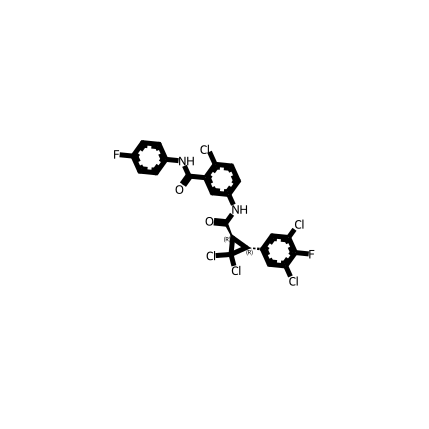 O=C(Nc1ccc(F)cc1)c1cc(NC(=O)[C@H]2[C@H](c3cc(Cl)c(F)c(Cl)c3)C2(Cl)Cl)ccc1Cl